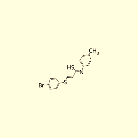 Cc1ccc(N=C(S)C=CSc2ccc(Br)cc2)cc1